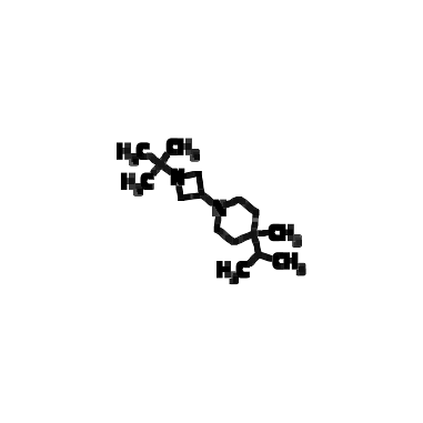 CC(C)C1(C)CCN(C2CN(C(C)(C)C)C2)CC1